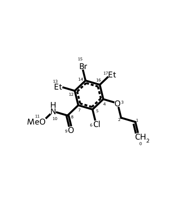 C=CCOc1c(Cl)c(C(=O)NOC)c(CC)c(Br)c1CC